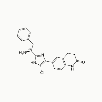 N[C@@H](Cc1ccccc1)c1nc(-c2ccc3c(c2)CCC(=O)N3)c(Cl)[nH]1